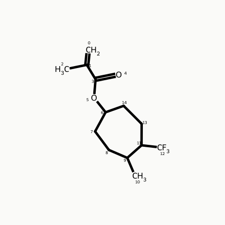 C=C(C)C(=O)OC1CCC(C)C(C(F)(F)F)CC1